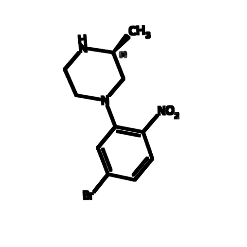 C[C@H]1CN(c2cc(Br)ccc2[N+](=O)[O-])CCN1